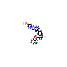 O=C(Nc1ccccc1F)c1n[nH]c2ccc(-c3cncc(CN4CCC(O)CC4)c3)cc12